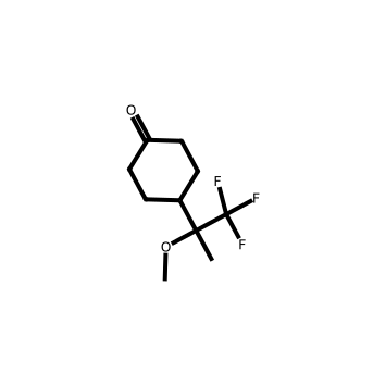 COC(C)(C1CCC(=O)CC1)C(F)(F)F